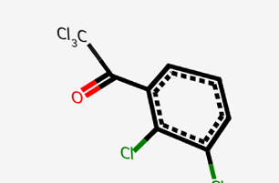 O=C(c1cccc(Cl)c1Cl)C(Cl)(Cl)Cl